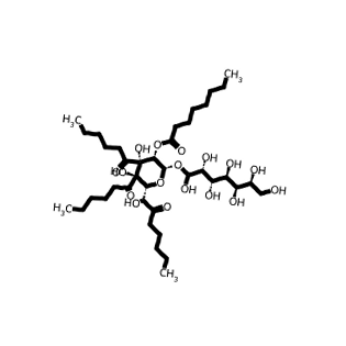 CCCCCCCC(=O)O[C@@H]1[C@H](OC(O)[C@H](O)[C@@H](O)[C@@H](O)[C@H](O)[C@@H](O)CO)O[C@H](C(O)C(=O)CCCCC)[C@](O)(C(=O)CCCCC)[C@@]1(O)C(=O)CCCCC